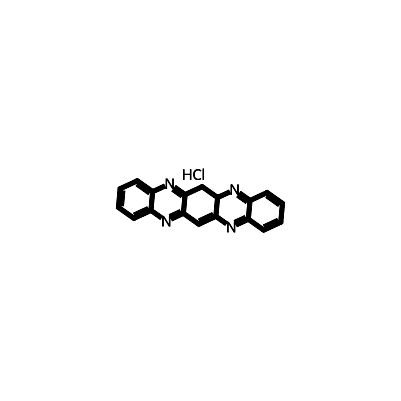 C1=C2N=c3ccccc3=NC2Cc2nc3ccccc3nc21.Cl